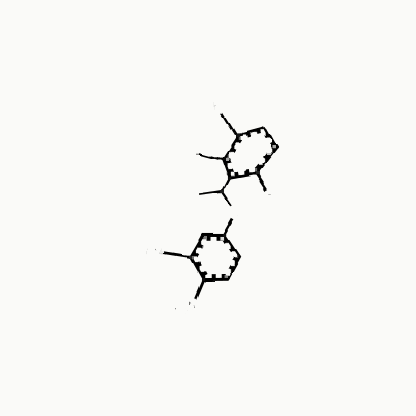 CC(Oc1ccc(N)c(N)c1)c1c(Cl)ccc(F)c1Cl